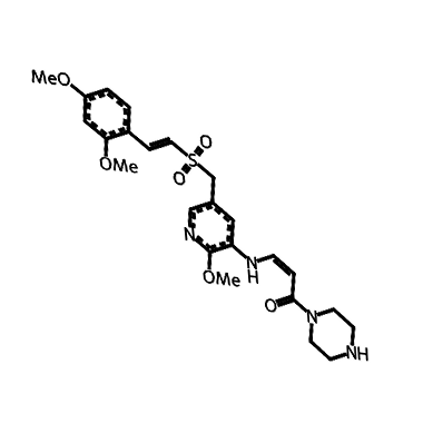 COc1ccc(/C=C/S(=O)(=O)Cc2cnc(OC)c(N/C=C\C(=O)N3CCNCC3)c2)c(OC)c1